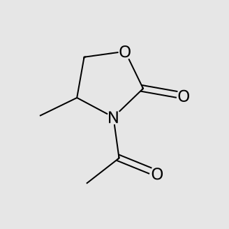 CC(=O)N1C(=O)OCC1C